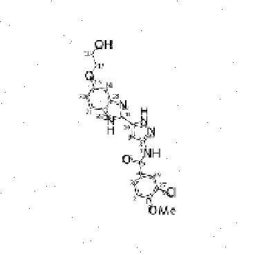 COc1ccc(C(=O)Nc2cc(-c3nc4cc(OCCO)ccc4[nH]3)[nH]n2)cc1Cl